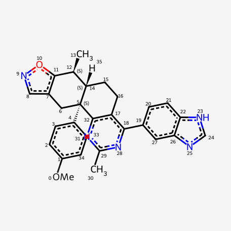 COc1ccc([C@]23Cc4cnoc4[C@@H](C)[C@@H]2CCc2c(-c4ccc5[nH]cnc5c4)nc(C)nc23)cc1